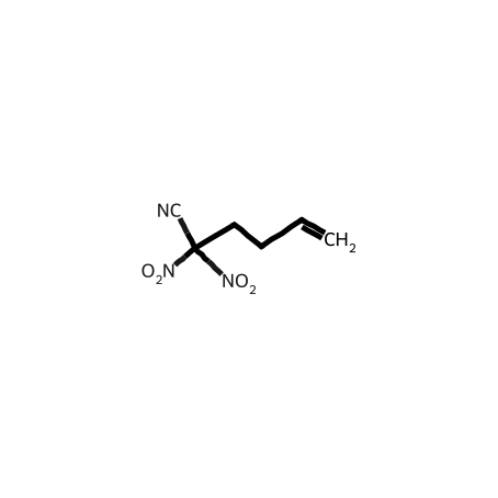 C=CCCC(C#N)([N+](=O)[O-])[N+](=O)[O-]